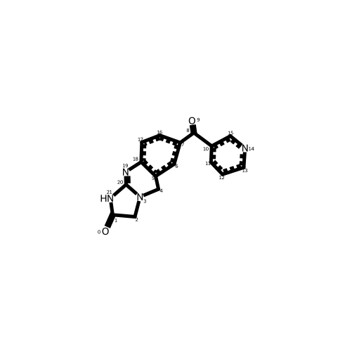 O=C1CN2Cc3cc(C(=O)c4cccnc4)ccc3N=C2N1